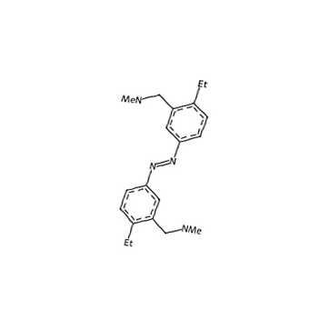 CCc1ccc(/N=N/c2ccc(CC)c(CNC)c2)cc1CNC